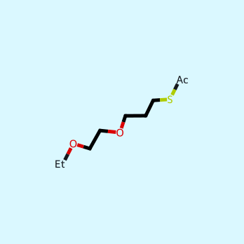 CCOCCOCCCSC(C)=O